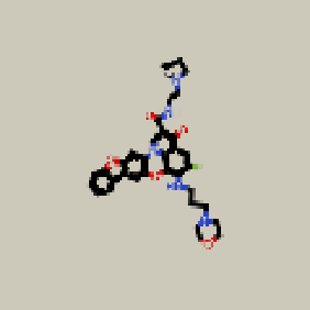 O=C(NCCN1CCCC1)c1cn2c3c(c(NCCCN4CCOCC4)c(F)cc3c1=O)Oc1cc3c(cc1-2)oc1ccccc13